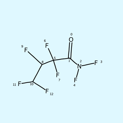 O=C(N(F)F)C(F)(F)C(F)C(F)F